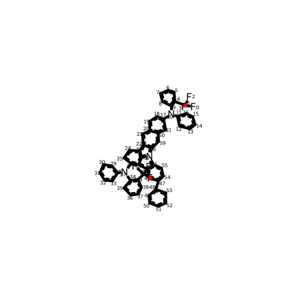 FC(F)(F)c1ccccc1N(c1ccccc1)c1ccc2cc3c4ccc(N(c5ccccc5)c5ccccc5C(F)(F)F)c5c6cc(-c7ccccc7)ccc6n(c3cc2c1)c45